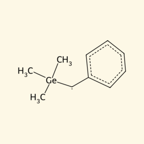 [CH3][Ge]([CH3])([CH3])[CH]c1ccccc1